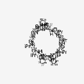 CC(C)C[C@@H]1NC(=O)[C@H](CC(C)C)N(C)C(=O)[C@H](C)N(C)C(=O)N(C)C(=O)C(C(=O)N2CCCCC2)NC(=O)[C@H]([C@@H](C)O)NC(=O)[C@H](C(C)C)N(C)C(=O)[C@@H](C(C)C)NC(=O)[C@H](CC(C)C)N(C)C(=O)[C@H](Cc2ccccc2)NC(=O)[C@H](Cc2ccccc2)N(C)C1=O